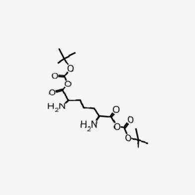 CC(C)(C)OC(=O)OC(=O)C(N)CCCC(N)C(=O)OC(=O)OC(C)(C)C